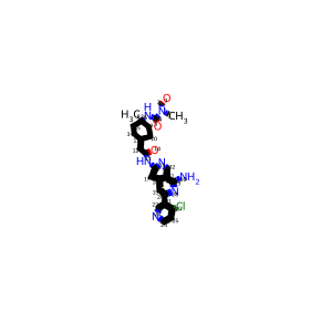 CN(C=O)C(=O)NC1(C)CCC(=CC(=O)Nc2cc3cc(-c4cnccc4Cl)nc(N)c3cn2)CC1